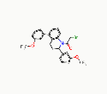 O=C(CBr)N1c2cccc(-c3cccc(OC(F)(F)F)c3)c2CCC1c1cccc(OC(F)(F)F)c1